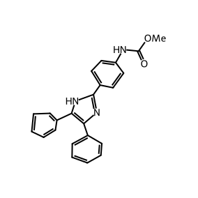 COC(=O)Nc1ccc(-c2nc(-c3ccccc3)c(-c3ccccc3)[nH]2)cc1